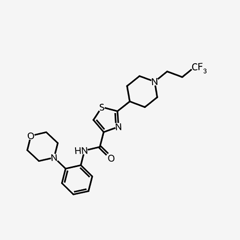 O=C(Nc1ccccc1N1CCOCC1)c1csc(C2CCN(CCC(F)(F)F)CC2)n1